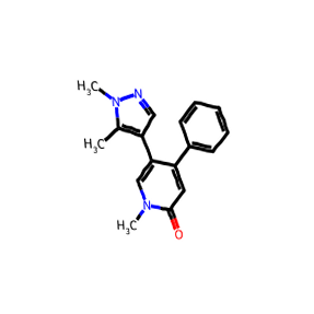 Cc1c(-c2cn(C)c(=O)cc2-c2ccccc2)cnn1C